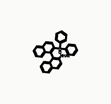 CC(=O)Nc1ccc2ccccc2c1-c1c(P(=O)(c2ccccc2)c2ccccc2)ccc2ccccc12